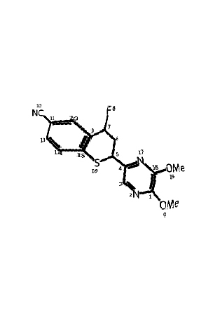 COc1ncc(C2CC(F)c3cc(C#N)ccc3S2)nc1OC